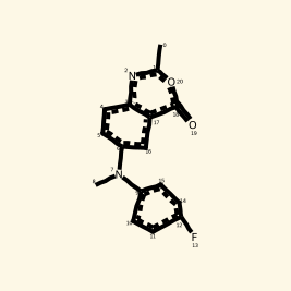 Cc1nc2ccc(N(C)c3ccc(F)cc3)cc2c(=O)o1